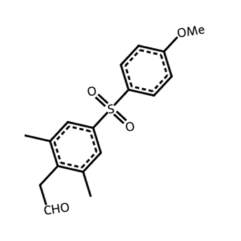 COc1ccc(S(=O)(=O)c2cc(C)c(CC=O)c(C)c2)cc1